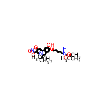 CC(C)(C)OC(=O)NCCCCCOc1cc2c(cc1O)-c1cc(=O)c(C(=O)N=O)cn1C(C(C)(C)C)C2